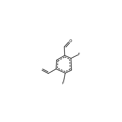 C=Cc1cc(C=O)c(F)cc1F